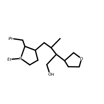 CCN1CCC(CC(C)C(CO)C2CCOC2)C1CC(C)C